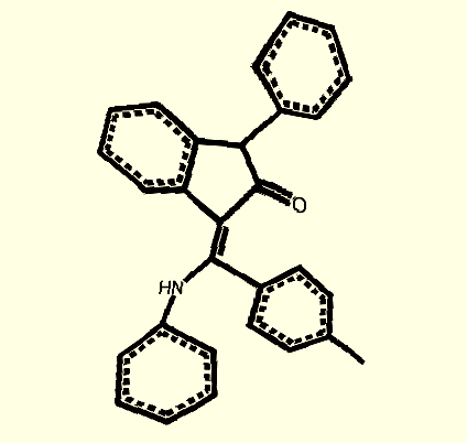 Cc1ccc(C(Nc2ccccc2)=C2C(=O)C(c3ccccc3)c3ccccc32)cc1